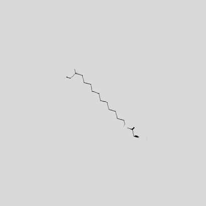 C=CC(=O)OCCCCCCCCCCCC(C)CC